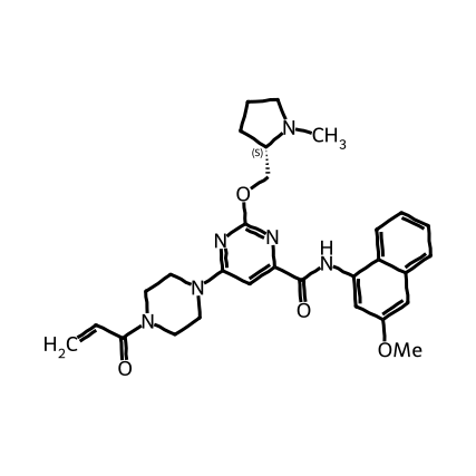 C=CC(=O)N1CCN(c2cc(C(=O)Nc3cc(OC)cc4ccccc34)nc(OC[C@@H]3CCCN3C)n2)CC1